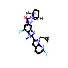 Cn1c(-c2cc3ccc(F)nc3n2CC2CC2)nc2cc(C(=O)N3C[C@H]4CC[C@@H]3C4N)cc(F)c21